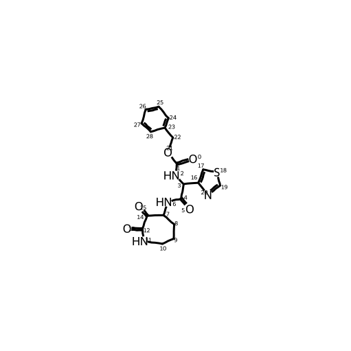 O=C(NC(C(=O)NC1CCCNC(=O)C1=O)c1cscn1)OCc1ccccc1